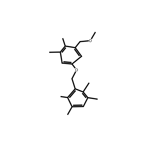 COCc1cc(OCc2c(C)c(C)cc(C)c2C)cc(C)c1C